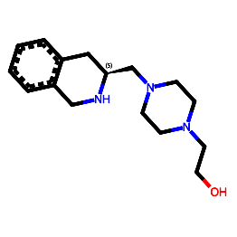 OCCN1CCN(C[C@@H]2Cc3ccccc3CN2)CC1